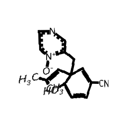 CC(C)=CC1(Cc2cncc[n+]2[O-])C=C(C#N)C=CC1O